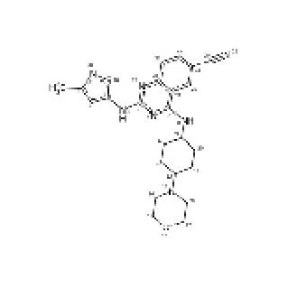 Cc1cc(Nc2nc(NC3CCC(N4CCOCC4)CC3)c3cc(C#N)ccc3n2)sn1